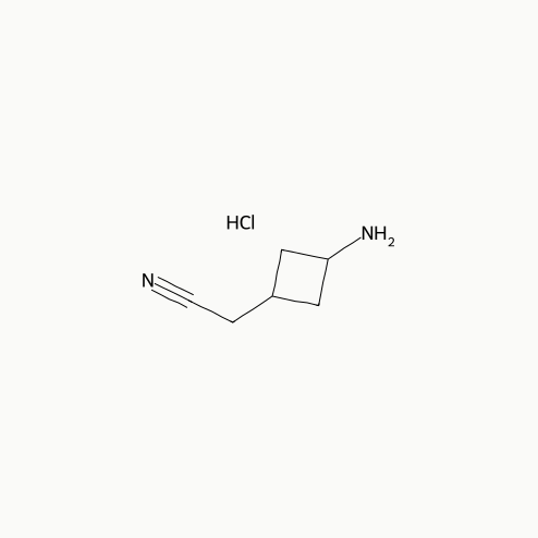 Cl.N#CCC1CC(N)C1